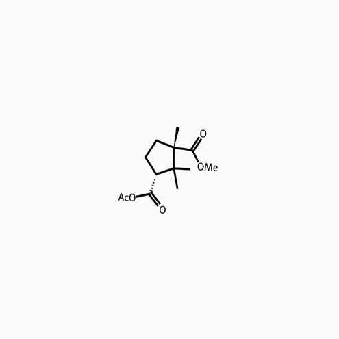 COC(=O)[C@@]1(C)CC[C@@H](C(=O)OC(C)=O)C1(C)C